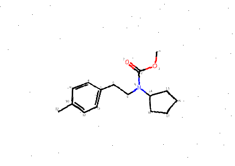 COC(=O)N(CCc1ccc(C)cc1)C1CCCC1